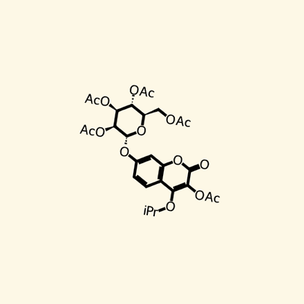 CC(=O)OC[C@H]1O[C@H](Oc2ccc3c(OC(C)C)c(OC(C)=O)c(=O)oc3c2)[C@@H](OC(C)=O)[C@@H](OC(C)=O)[C@@H]1OC(C)=O